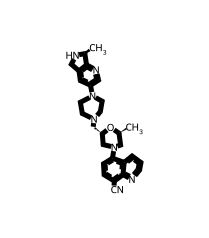 C[C@@H]1CN(c2ccc(C#N)c3ncccc23)C[C@H](CN2CCN(c3cnc4c(c3)CN[C@H]4C)CC2)O1